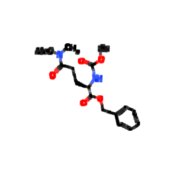 CON(C)C(=O)CC[C@@H](NC(=O)OC(C)(C)C)C(=O)OCc1ccccc1